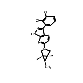 C[C@@]12CN(c3cnc4c(-c5cccc(Cl)c5Cl)n[nH]c4n3)C[C@]1(C)[C@H]2N